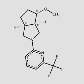 CO[C@H]1CC[C@@H]2CN(c3cccc(C(F)(F)F)n3)C[C@@H]21